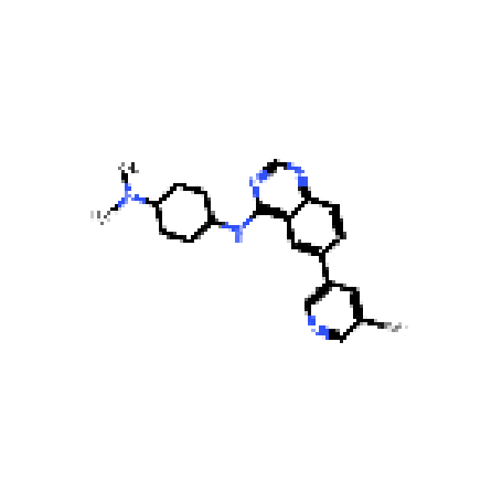 CSc1cncc(-c2ccc3ncnc(NC4CCC(N(C)C)CC4)c3c2)c1